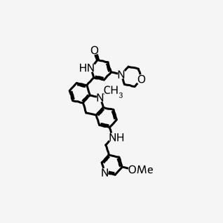 COc1cncc(CNc2ccc3c(c2)Cc2cccc(-c4cc(N5CCOCC5)cc(=O)[nH]4)c2N3C)c1